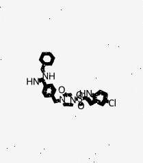 N=C(NCC1CCCCC1)c1ccc(CN2CCN(S(=O)(=O)c3cc4cc(Cl)ccc4[nH]3)CC2=O)cc1